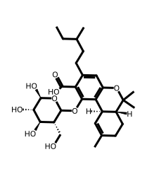 CCC(C)CCc1cc2c(c(OC3O[C@H](O)[C@@H](O)[C@H](O)[C@H]3CO)c1C(=O)O)[C@@H]1C=C(C)CC[C@H]1C(C)(C)O2